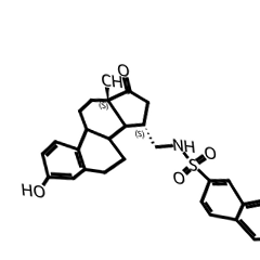 C[C@]12CCC3c4ccc(O)cc4CCC3C1[C@@H](CNS(=O)(=O)c1ccc3ccccc3c1)CC2=O